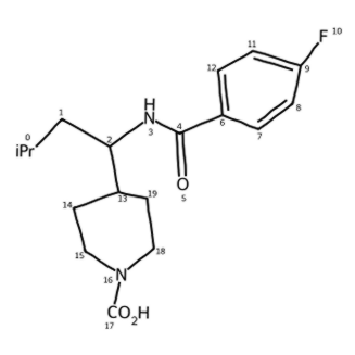 CC(C)CC(NC(=O)c1ccc(F)cc1)C1CCN(C(=O)O)CC1